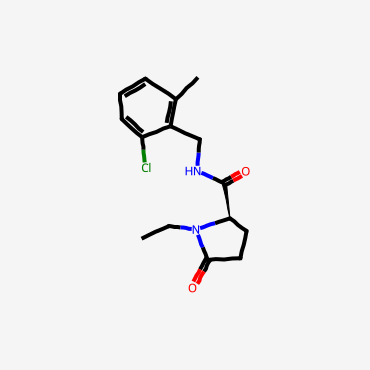 CCN1C(=O)CC[C@@H]1C(=O)NCc1c(C)cccc1Cl